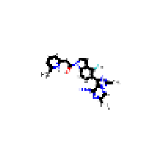 Cc1cccc(CC(=O)N2CCc3c2ccc(-c2nc(C)n4cc(C)nc(N)c24)c3F)n1